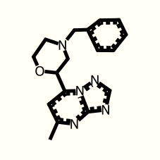 Cc1cc(C2CN(Cc3ccccc3)CCO2)n2ncnc2n1